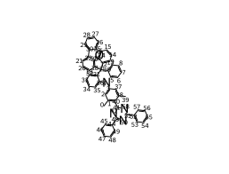 Cc1cc(N2c3ccccc3C(c3ccccc3)(c3cccc4c3oc3ccccc34)c3ccccc32)cc(C)c1-c1nc(-c2ccccc2)nc(-c2ccccc2)n1